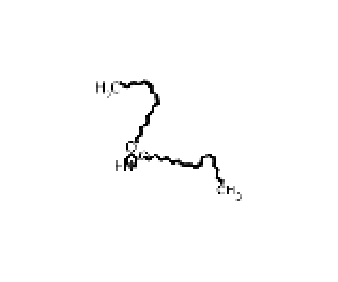 CCCCC/C=C\C/C=C\CCCCCCCCOC1CNC[C@H]1OCCCCCCCC/C=C\C/C=C\CCCCC